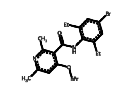 CCCOc1cc(C)nc(C)c1C(=O)Nc1c(CC)cc(Br)cc1CC